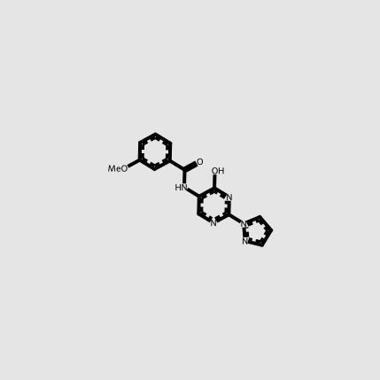 COc1cccc(C(=O)Nc2cnc(-n3cccn3)nc2O)c1